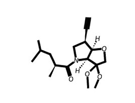 C#C[C@@H]1CN(C(=O)[C@@H](C)CC(C)C)[C@H]2[C@@H]1OCC2(OC)OC